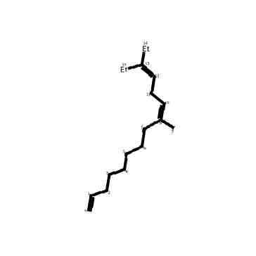 C=CCCCCCCC(C)=CCC=C(CC)CC